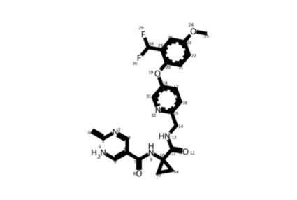 C=C/N=C\C(=C/N)C(=O)NC1(C(=O)NCc2ccc(Oc3ccc(OC)cc3C(F)F)cn2)CC1